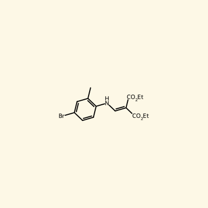 CCOC(=O)C(=CNc1ccc(Br)cc1C)C(=O)OCC